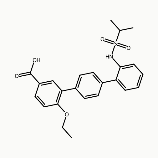 CCOc1ccc(C(=O)O)cc1-c1ccc(-c2ccccc2NS(=O)(=O)C(C)C)cc1